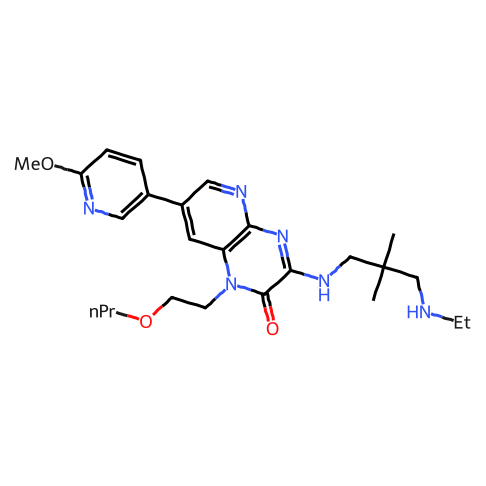 CCCOCCn1c(=O)c(NCC(C)(C)CNCC)nc2ncc(-c3ccc(OC)nc3)cc21